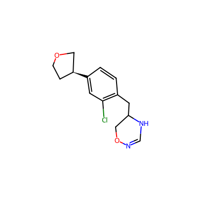 Clc1cc([C@H]2CCOC2)ccc1CC1CON=CN1